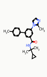 Cc1ccc(-c2cc(C(=O)NC(C)(C)C3CC3)cc(-n3ccnc3C)c2)cc1